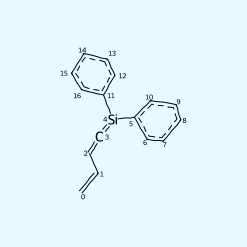 C=CC=C=[Si](c1ccccc1)c1ccccc1